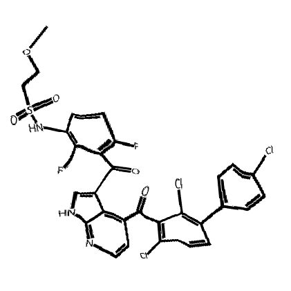 COCCS(=O)(=O)Nc1ccc(F)c(C(=O)c2c[nH]c3nccc(C(=O)c4c(Cl)ccc(-c5ccc(Cl)cc5)c4Cl)c23)c1F